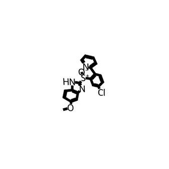 COc1ccc2[nH]c([S+]([O-])c3cc(Cl)ccc3-c3ccccn3)nc2c1